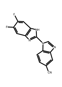 N#Cc1ccc2c(c1)ncn2-c1nc2cc(F)c(F)cc2[nH]1